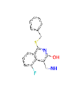 N=Cc1c(O)nc(SCc2ccccc2)c2cccc(F)c12